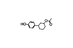 CC(=O)OC1CCCC(c2ccc(O)cc2)C1